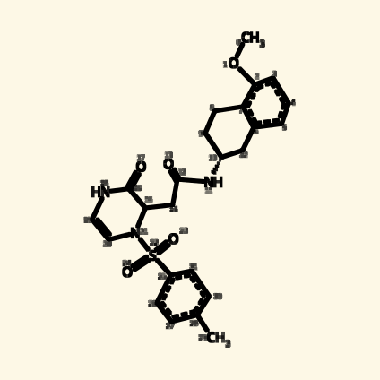 COc1cccc2c1CC[C@@H](NC(=O)CC1C(=O)NC=CN1S(=O)(=O)c1ccc(C)cc1)C2